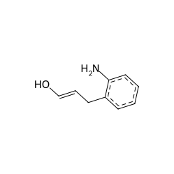 Nc1ccccc1CC=CO